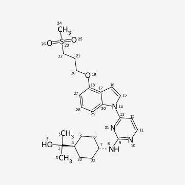 CC(C)(O)[C@H]1CC[C@H](Nc2nccc(-n3ccc4c(OCCCS(C)(=O)=O)cccc43)n2)CC1